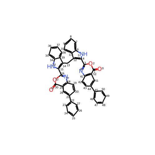 O=c1oc(-c2[nH]c3ccccc3c2Cc2c(-c3nc4ccc(-c5ccccc5)cc4c(=O)o3)[nH]c3ccccc23)nc2ccc(-c3ccccc3)cc12